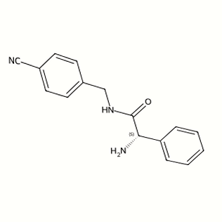 N#Cc1ccc(CNC(=O)[C@@H](N)c2ccccc2)cc1